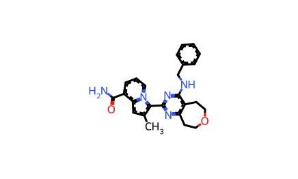 Cc1cc2c(C(N)=O)cccn2c1-c1nc2c(c(NCc3ccccc3)n1)CCOCC2